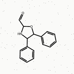 O=CC1NC(c2ccccc2)C(c2ccccc2)O1